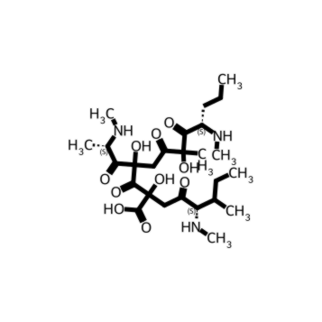 CCC[C@H](NC)C(=O)C(C)(O)C(=O)CC(O)(C(=O)[C@H](C)NC)C(=O)C(O)(CC(=O)[C@@H](NC)C(C)CC)C(=O)O